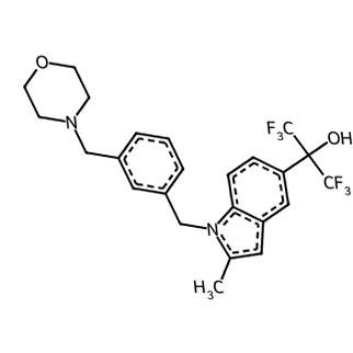 Cc1cc2cc(C(O)(C(F)(F)F)C(F)(F)F)ccc2n1Cc1cccc(CN2CCOCC2)c1